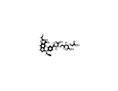 C#CCN(c1ccc(C(=O)N[C@@H](CCC(=O)N[C@H](CCC(=O)O)C(=O)O)C(=O)O)cc1)C1CCc2cc3nc(CC)[nH]c(=O)c3cc21